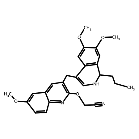 CCCC1NC=C(Cc2cc3cc(OC)ccc3nc2OCC#N)c2cc(OC)c(OC)cc21